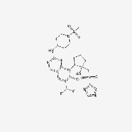 CS(=O)(=O)N1CCC(Nc2ncc3cc(C(F)F)c(=O)n(C4CCCC4(O)CS(=O)(=O)n4cncn4)c3n2)CC1